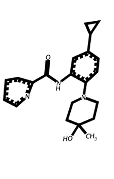 CC1(O)CCN(c2ccc(C3CC3)cc2NC(=O)c2ccccn2)CC1